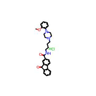 COc1ccccc1N1CCN(CCCCNC(=O)c2ccc3c(c2)C(=O)c2ccccc2-3)CC1.Cl